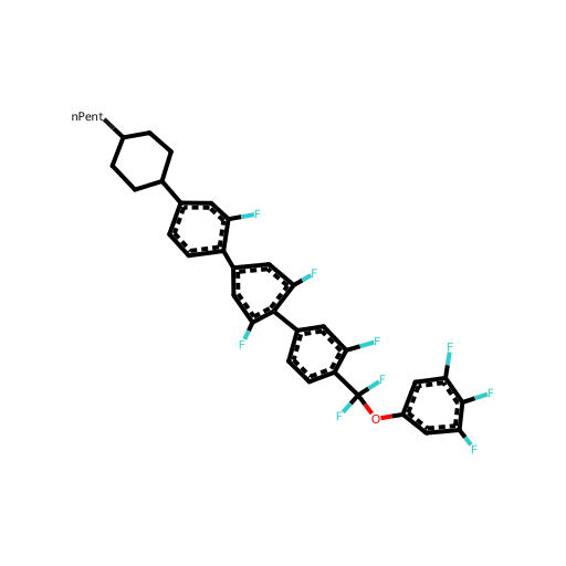 CCCCCC1CCC(c2ccc(-c3cc(F)c(-c4ccc(C(F)(F)Oc5cc(F)c(F)c(F)c5)c(F)c4)c(F)c3)c(F)c2)CC1